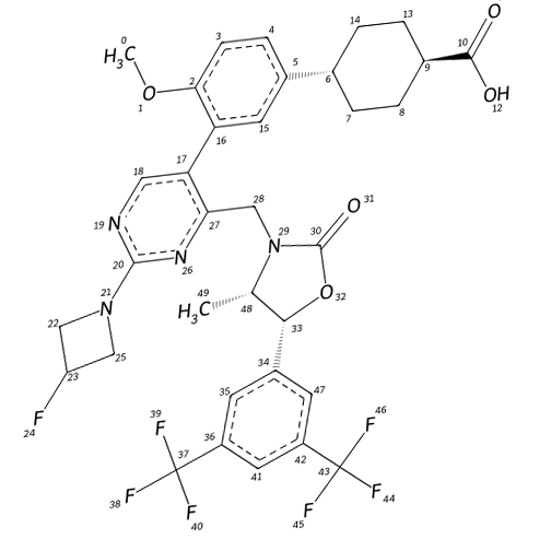 COc1ccc([C@H]2CC[C@H](C(=O)O)CC2)cc1-c1cnc(N2CC(F)C2)nc1CN1C(=O)O[C@H](c2cc(C(F)(F)F)cc(C(F)(F)F)c2)[C@@H]1C